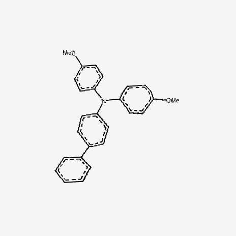 COc1ccc(N(c2ccc(OC)cc2)c2ccc(-c3ccccc3)cc2)cc1